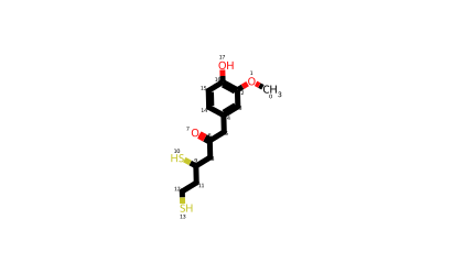 COc1cc(CC(=O)CC(S)CCS)ccc1O